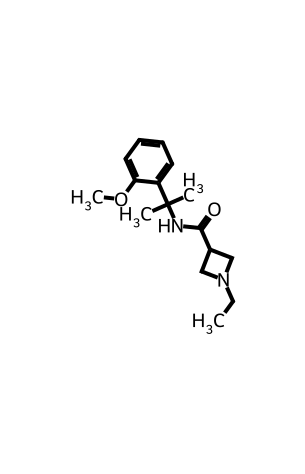 CCN1CC(C(=O)NC(C)(C)c2ccccc2OC)C1